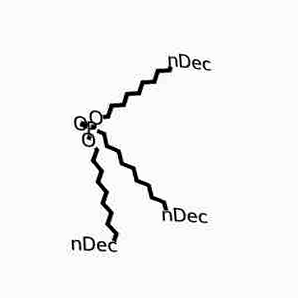 CCCCCCCCCCCCCCCCCCCOP(=O)(CCCCCCCCCCCCCCCCCCC)OCCCCCCCCCCCCCCCCCCC